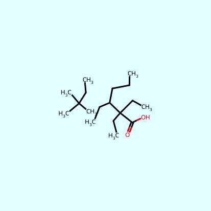 CCC(C)(C)C.CCCC(CC)C(CC)(CC)C(=O)O